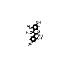 C=C1C(c2ccc(N=O)cc2O)=C(O)Oc2cc(O)cc(N=O)c21